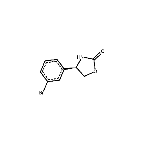 O=C1N[C@H](c2cccc(Br)c2)CO1